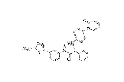 Cc1nc(-c2cccc(NC(=O)C(Nc3ccc(-n4ccccc4=O)cc3)c3ccccc3)c2)no1